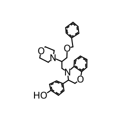 Oc1ccc(C2COc3ccccc3N2CC(COCc2ccccc2)N2CCOCC2)cc1